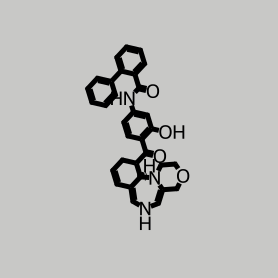 O=C(Nc1ccc(C(=O)C2CC=CC3=CNC=C4COCCN4[C@H]32)c(O)c1)c1ccccc1-c1ccccc1